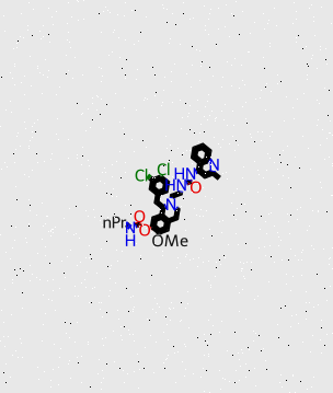 CCCNC(=O)Oc1cc2c(cc1OC)CCN(CCNC(=O)Nc1cc(C)nc3ccccc13)C2Cc1ccc(Cl)c(Cl)c1